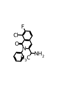 CC(N)c1cc2ccc(F)c(Cl)c2c(=O)n1-c1ccccc1